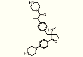 CCC(Cc1ccc(C(C)C(=O)N2CCNCC2)cc1)(NC)C(=O)c1ccc(N2CCNCC2)cc1